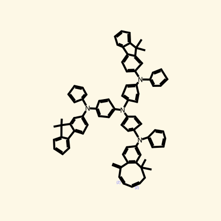 C=C1/C=C\C=C/CC(C)(C)c2cc(N(c3ccccc3)c3ccc(N(c4ccc(N(c5ccccc5)c5ccc6c(c5)C(C)(C)c5ccccc5-6)cc4)c4ccc(N(c5ccccc5)c5ccc6c(c5)C(C)(C)c5ccccc5-6)cc4)cc3)ccc21